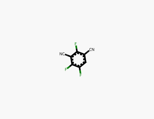 N#Cc1[c]c(F)c(F)c(C#N)c1F